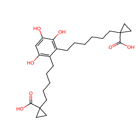 O=C(O)C1(CCCCCCc2c(O)c(O)cc(O)c2CCCCCC2(C(=O)O)CC2)CC1